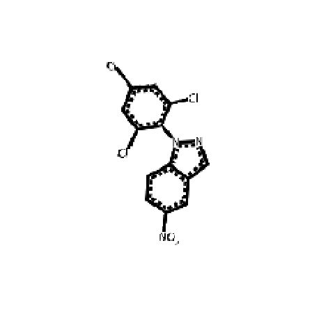 O=[N+]([O-])c1ccc2c(cnn2-c2c(Cl)cc(Cl)cc2Cl)c1